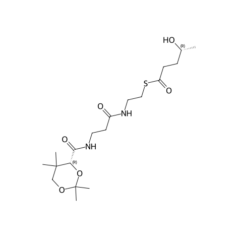 C[C@@H](O)CCC(=O)SCCNC(=O)CCNC(=O)[C@@H]1OC(C)(C)OCC1(C)C